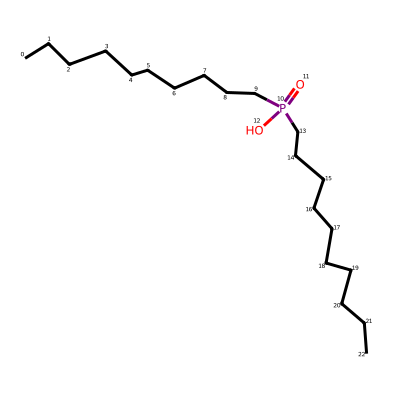 CCCCCCCCCCP(=O)(O)CCCCCCCCCC